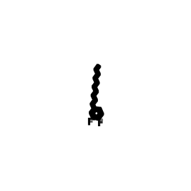 CCCCCCCCCCc1ccc(F)c(F)c1